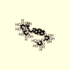 C[C@H](CC[C@@H](O[C@@H]1O[C@H](CO)[C@@H](O)[C@H](O)[C@H]1O[C@@H]1O[C@H](CO)[C@@H](O)[C@H](O)[C@H]1O)C(C)(C)O)[C@H]1CC[C@@]2(C)[C@@H]3CC=C4[C@@H](CC[C@H](O[C@@H]5O[C@H](CO[C@@H]6O[C@H](CO)[C@@H](O)[C@H](O)[C@H]6O)[C@@H](O)[C@H](O)[C@H]5O)C4(C)C)[C@]3(C)CC[C@]12C